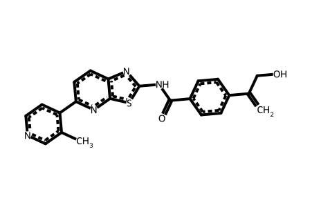 C=C(CO)c1ccc(C(=O)Nc2nc3ccc(-c4ccncc4C)nc3s2)cc1